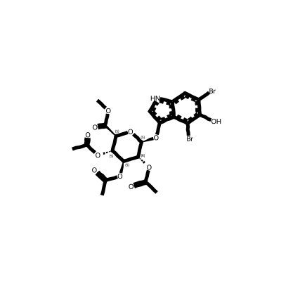 COC(=O)[C@H]1O[C@@H](Oc2c[nH]c3cc(Br)c(O)c(Br)c23)[C@H](OC(C)=O)[C@@H](OC(C)=O)[C@@H]1OC(C)=O